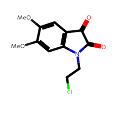 COc1cc2c(cc1OC)N(CCCl)C(=O)C2=O